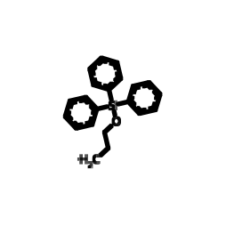 [CH2]CCO[Si](c1ccccc1)(c1ccccc1)c1ccccc1